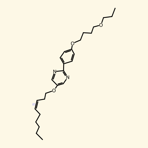 CCCCC/C=C\CCOc1cnc(-c2ccc(OCCCCOCCC)cc2)nc1